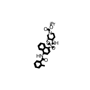 Cc1ccccc1C(=O)Nc1ccc(S(=O)(=O)N[C@@H]2CCN(C(=O)OC(C)C)C[C@@H]2C)c2ccccc12